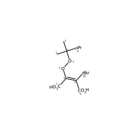 CCCC(C)(C)OOC(C(=O)O)=C(C(=O)O)C(C)(C)C